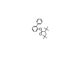 CC(C)(C)CC(C(=O)Oc1ccccc1-c1ccccc1)C(C)(C)C